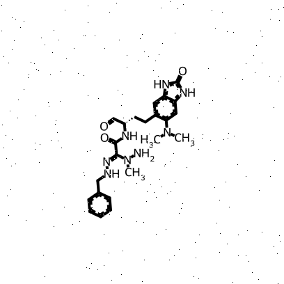 CN(N)/C(=N\NCc1ccccc1)C(=O)N[C@H](C=O)CCc1cc2[nH]c(=O)[nH]c2cc1N(C)C